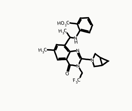 Cc1cc(C(C)Nc2ccccc2C(=O)O)c2nc(N3CC4CC4C3)n(CC(F)(F)F)c(=O)c2c1